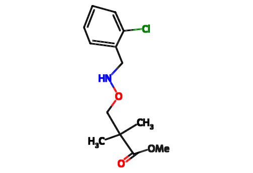 COC(=O)C(C)(C)CONCc1ccccc1Cl